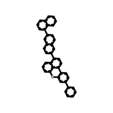 c1ccc(-c2ccc3c(c2)Oc2cccc4c(-c5ccc6cc(-c7cccc8ccccc78)ccc6c5)ccc-3c24)cc1